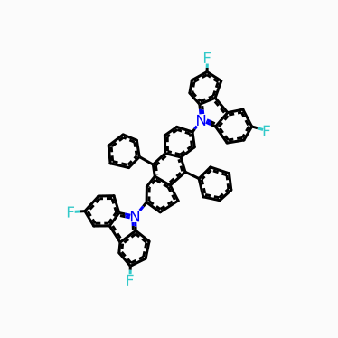 Fc1ccc2c(c1)c1cc(F)ccc1n2-c1ccc2c(-c3ccccc3)c3cc(-n4c5ccc(F)cc5c5cc(F)ccc54)ccc3c(-c3ccccc3)c2c1